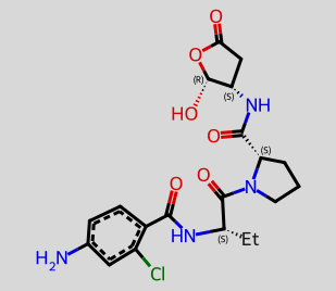 CC[C@H](NC(=O)c1ccc(N)cc1Cl)C(=O)N1CCC[C@H]1C(=O)N[C@H]1CC(=O)O[C@H]1O